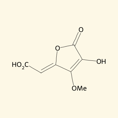 COC1=C(O)C(=O)OC1=CC(=O)O